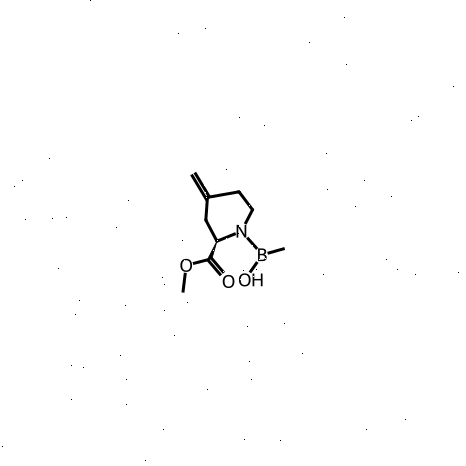 C=C1CCN(B(C)O)[C@@H](C(=O)OC)C1